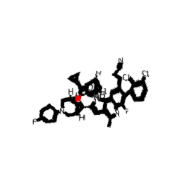 Cc1nc2c(F)c(-c3cccc(Cl)c3Cl)c(CCC#N)cc2c2c1cc([C@H]1[C@H]3C[C@H](CN(c4ccc(F)cc4)C3)N1C(=O)C1CC1)n2[C@H]1[C@H]2CN[C@@H]1C2